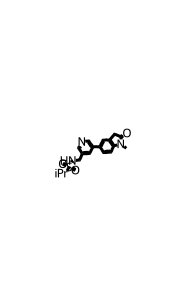 CC(C)S(=O)(=O)NCc1cncc(-c2ccc3c(c2)CC(=O)N3C)c1